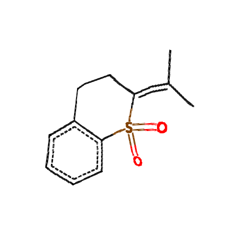 CC(C)=C1CCc2ccccc2S1(=O)=O